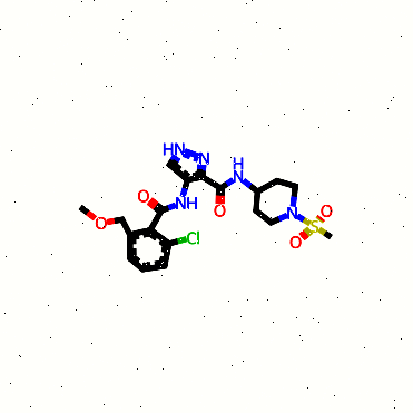 COCc1cccc(Cl)c1C(=O)Nc1c[nH]nc1C(=O)NC1CCN(S(C)(=O)=O)CC1